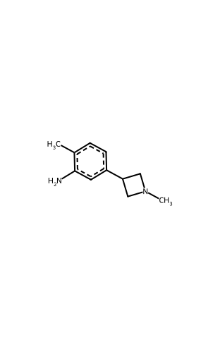 Cc1ccc(C2CN(C)C2)cc1N